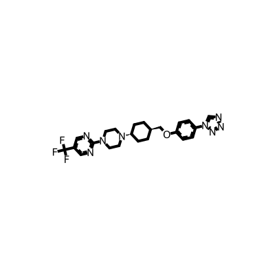 FC(F)(F)c1cnc(N2CCN([C@H]3CC[C@H](COc4ccc(-n5cnnn5)cc4)CC3)CC2)nc1